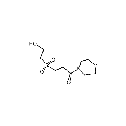 O=C(CCS(=O)(=O)CCO)N1CCOCC1